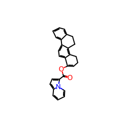 O=C(OC1=CCCc2c1ccc1c2CCc2ccccc2-1)c1ccc2ccccn12